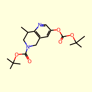 CC1CN(C(=O)OC(C)(C)C)Cc2cc(OC(=O)OC(C)(C)C)cnc21